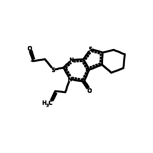 C=CCn1c(SC[C]=O)nc2sc3c(c2c1=O)CCCC3